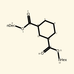 CCCCCCCCCCOC(=O)C1CCCC(C(=O)OCCCCCC)C1